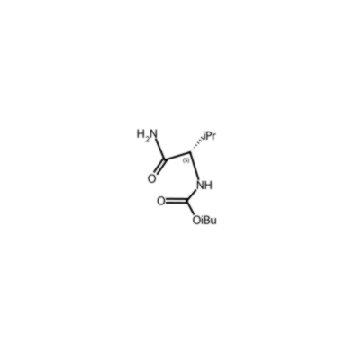 CC(C)COC(=O)N[C@H](C(N)=O)C(C)C